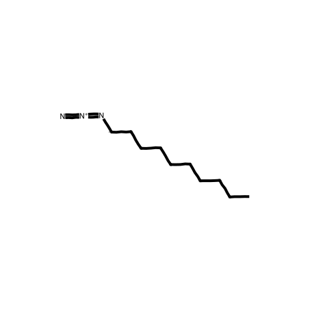 CCCCCCCCC[CH]N=[N+]=[N-]